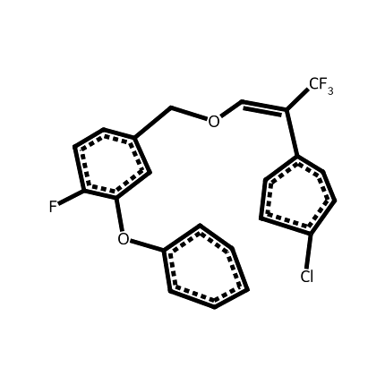 Fc1ccc(COC=C(c2ccc(Cl)cc2)C(F)(F)F)cc1Oc1ccccc1